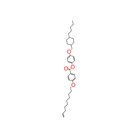 C=CCCCCCCCCOc1ccc(C(=O)Oc2ccc(OCC3CCC(CCCCC)CC3)cc2)cc1